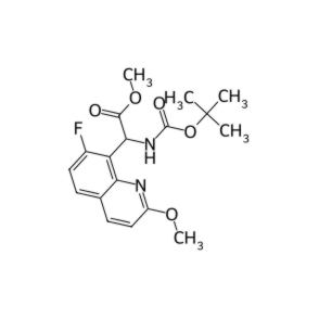 COC(=O)C(NC(=O)OC(C)(C)C)c1c(F)ccc2ccc(OC)nc12